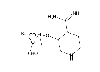 CC(=O)O.CC(C)(C)OC=O.N=C(N)C1CCNCC1O